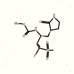 CC(C)(C)OC(=O)N[C@H](/C=C(/F)S(C)(=O)=O)C[C@@H]1CCNC1=O